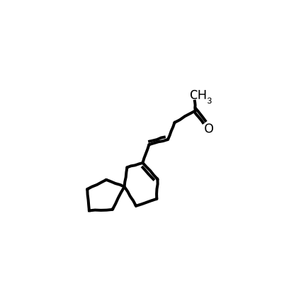 CC(=O)CC=CC1=CCCC2(CCCC2)C1